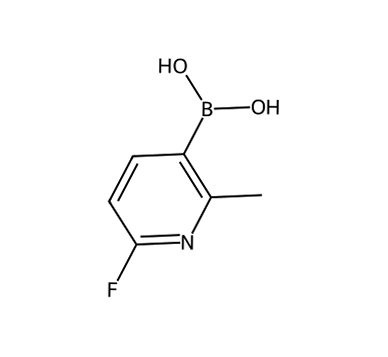 Cc1nc(F)ccc1B(O)O